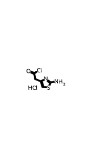 Cl.Nc1nc(CC(=O)Cl)cs1